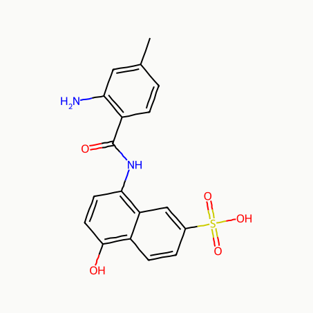 Cc1ccc(C(=O)Nc2ccc(O)c3ccc(S(=O)(=O)O)cc23)c(N)c1